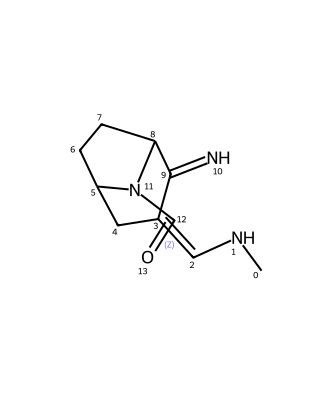 CN/C=C1/CC2CCC(C1=N)N2C=O